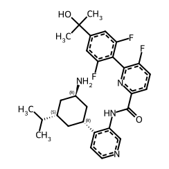 CC(C)[C@@H]1C[C@@H](N)C[C@H](c2ccncc2NC(=O)c2ccc(F)c(-c3c(F)cc(C(C)(C)O)cc3F)n2)C1